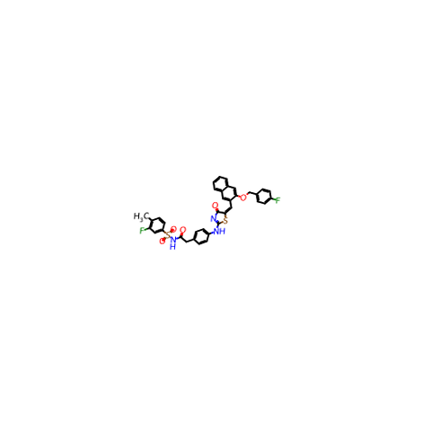 Cc1ccc(S(=O)(=O)NC(=O)Cc2ccc(NC3=NC(=O)/C(=C\c4cc5ccccc5cc4OCc4ccc(F)cc4)S3)cc2)cc1F